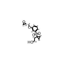 O=S(=O)(c1cccc(OC[C@@H]2CO2)c1)C1(CCO)CC1